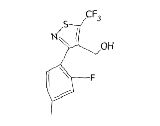 Cc1ccc(-c2nsc(C(F)(F)F)c2CO)c(F)c1